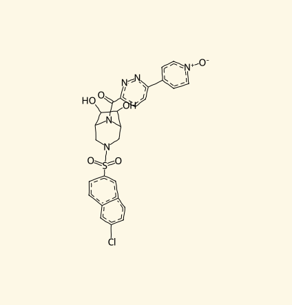 O=C(c1ccc(-c2cc[n+]([O-])cc2)nn1)N1C2CN(S(=O)(=O)c3ccc4cc(Cl)ccc4c3)CC1C(O)C2O